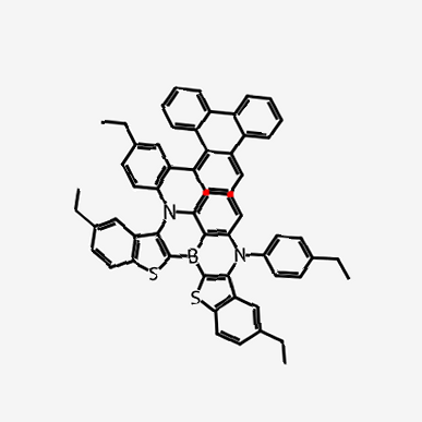 CCc1ccc(N2c3cccc4c3B(c3sc5ccc(CC)cc5c32)c2sc3ccc(CC)cc3c2N4c2ccc(CC)cc2-c2cccc3c4ccccc4c4ccccc4c23)cc1